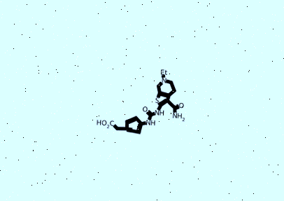 CCN1CCc2c(sc(NC(=O)Nc3ccc(CC(=O)O)cc3)c2C(N)=O)C1